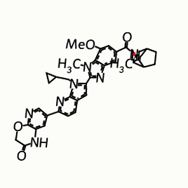 COc1cc(C(=O)N2CC3CCC2[C@@H]3C)cc2nc(-c3cc4ccc(-c5cnc6c(c5)NC(=O)CO6)nc4n3CC3CC3)n(C)c12